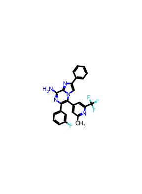 Cc1cc(-c2c(-c3cccc(F)c3)nc(N)c3nc(-c4ccccc4)cn23)cc(C(F)(F)F)n1